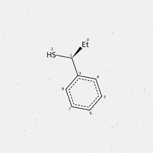 CC[C@H](S)c1ccccc1